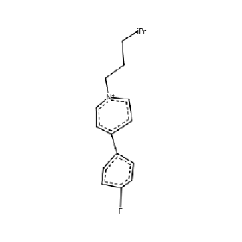 CC(C)CCC[n+]1ccc(-c2ccc(F)cc2)cc1